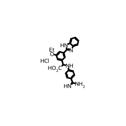 CCOc1cc(-c2nc3ccccc3[nH]2)cc(C(Nc2ccc(C(=N)N)cc2)C(=O)O)c1.Cl